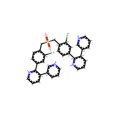 O=S(=O)(Cc1ccc(-c2ncccc2-c2cccnc2)cc1F)Cc1ccc(-c2ncccc2-c2cccnc2)cc1F